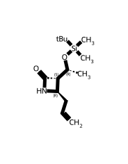 C=CC[C@H]1NC(=O)[C@@H]1[C@@H](C)O[Si](C)(C)C(C)(C)C